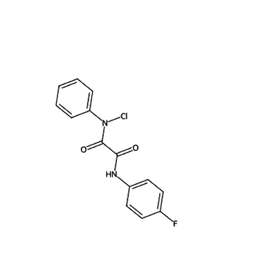 O=C(Nc1ccc(F)cc1)C(=O)N(Cl)c1ccccc1